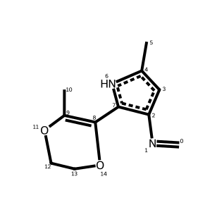 C=Nc1cc(C)[nH]c1C1=C(C)OCCO1